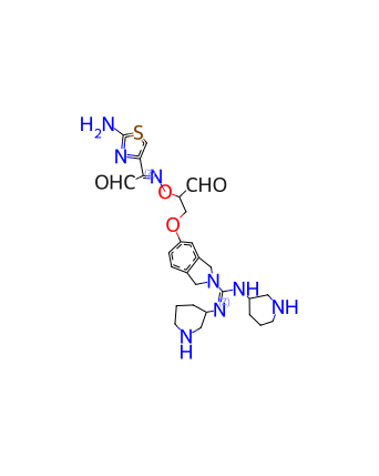 Nc1nc(/C(C=O)=N/OC(C=O)COc2ccc3c(c2)CN(/C(=N\C2CCCNC2)NC2CCCNC2)C3)cs1